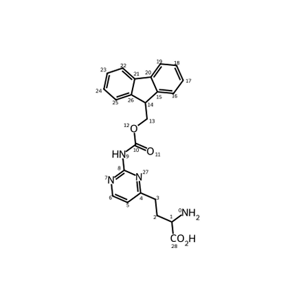 NC(CCc1ccnc(NC(=O)OCC2c3ccccc3-c3ccccc32)n1)C(=O)O